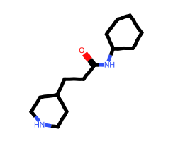 O=C(CCC1CCNCC1)NC1CC[CH]CC1